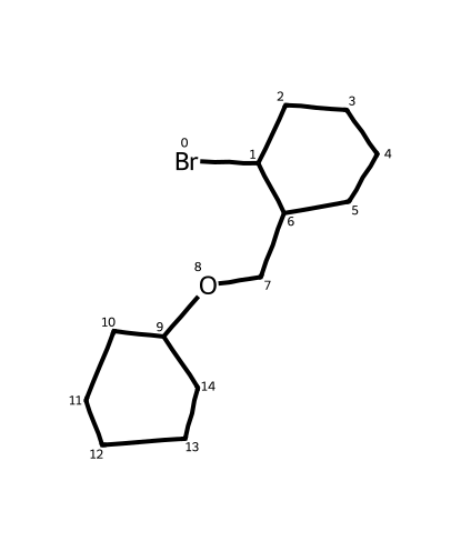 BrC1CCCCC1COC1CCCCC1